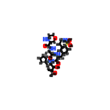 C[C@H](NC(=O)[C@@H]1COCCN1)C(=O)N[C@@H](Cc1ccc2c(c1)CCNS2(=O)=O)C(=O)N[C@@H](CC1CCCC1)C(=O)[C@@]1(C)CO1